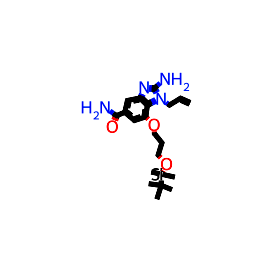 C=CCn1c(N)nc2cc(C(N)=O)cc(OCCCO[Si](C)(C)C(C)(C)C)c21